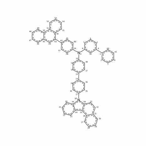 c1ccc(-c2cccc(N(c3ccc(-c4ccc(-n5c6ccccc6c6c7ccccc7ccc65)cc4)cc3)c3ccc(-c4cc5ccccc5c5ccccc45)cc3)c2)cc1